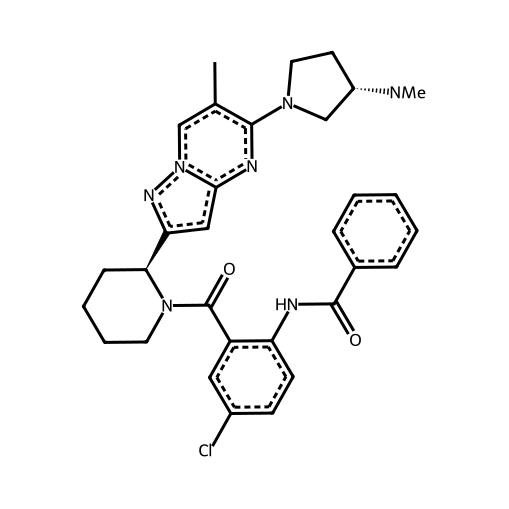 CN[C@H]1CCN(c2nc3cc([C@@H]4CCCCN4C(=O)c4cc(Cl)ccc4NC(=O)c4ccccc4)nn3cc2C)C1